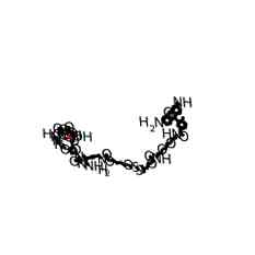 Cc1ccc(C(=O)NCCOCCOCCNC(=O)OCCC(C)(C)SSCOCCCCOC(=O)NCC#Cc2cn([C@H]3C[C@@H](OCN=[N+]=[N-])[C@@H](COP(=O)(O)OP(=O)(O)OP(=O)(O)O)O3)c(=O)nc2N)cc1-c1c2ccc(=N)cc-2oc2cc(N)ccc12